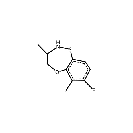 Cc1c(F)ccc2c1OCC(C)NS2